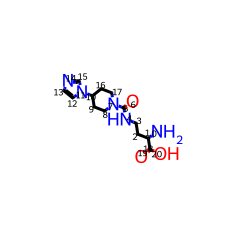 NC(CCNC(=O)N1CCC(n2ccnc2)CC1)C(=O)O